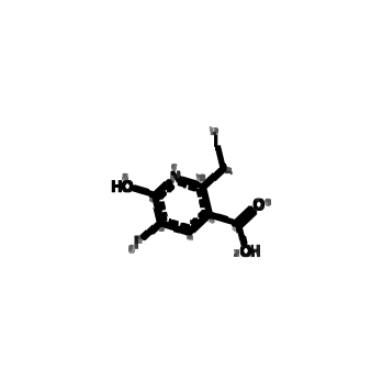 O=C(O)c1cc(F)c(O)nc1CI